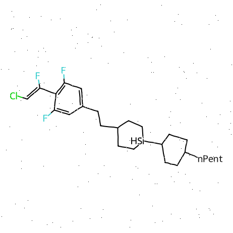 CCCCCC1CCC([SiH]2CCC(CCc3cc(F)c(C(F)=CCl)c(F)c3)CC2)CC1